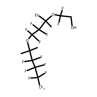 CCC(C)(OC(F)(F)CO)C(F)(F)C(F)(F)OC(C)(C)C(F)(F)C(F)(F)C(F)(F)C(F)(F)F